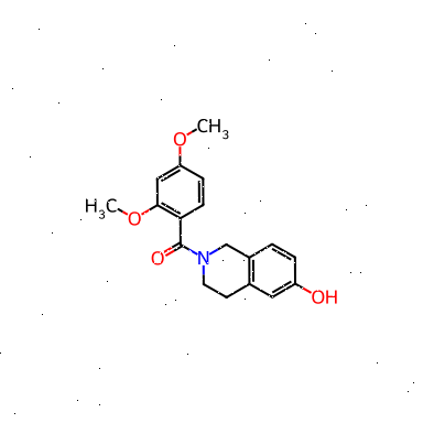 COc1ccc(C(=O)N2CCc3cc(O)ccc3C2)c(OC)c1